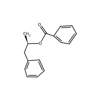 C[C@H](Cc1ccccc1)OC(=O)c1ccccc1